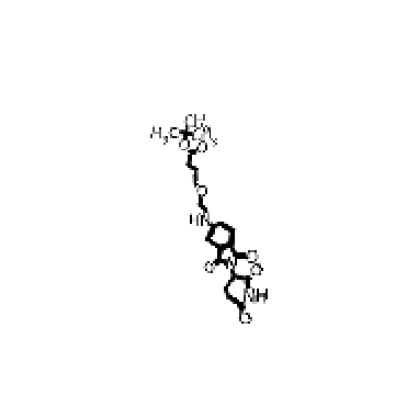 CC(C)(C)OC(=O)CCCOCCNc1ccc2c(c1)C(=O)N(C1CCC(=O)NC1=O)C2=O